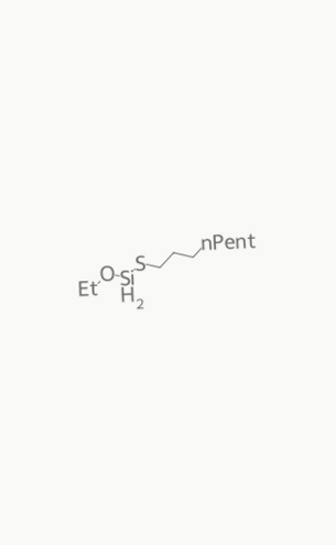 CCCCCCCCS[SiH2]OCC